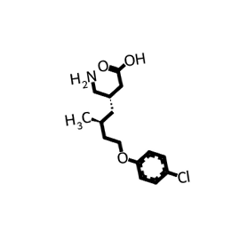 C[C@H](CCOc1ccc(Cl)cc1)C[C@H](CN)CC(=O)O